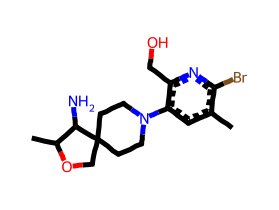 Cc1cc(N2CCC3(CC2)COC(C)C3N)c(CO)nc1Br